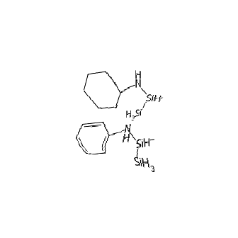 C[SiH]([SiH3])NC1CCCCC1.C[SiH]([SiH3])Nc1ccccc1